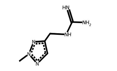 Cn1ncc(CNC(=N)N)n1